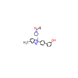 Cc1ccc2c(c1)nc(-c1ccc(-c3cccc(O)c3)cc1)n2C[C@@H]1CCN(C(=O)C2CC2)C1